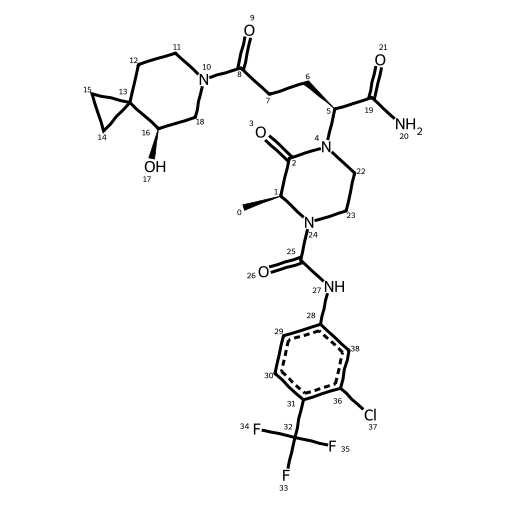 C[C@H]1C(=O)N([C@@H](CCC(=O)N2CCC3(CC3)[C@H](O)C2)C(N)=O)CCN1C(=O)Nc1ccc(C(F)(F)F)c(Cl)c1